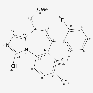 COC[C@@H]1N=C(c2c(F)cccc2F)c2c(ccc(C(F)(F)F)c2Cl)-n2c(C)nnc21